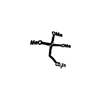 CCOC(=O)C[Si](OC)(OC)OC